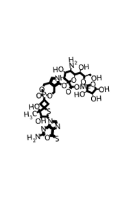 COC(=O)[C@]1(Oc2[nH]cc3c2COP(=O)(C2CC4(C2)SC(n2cnc5c(=S)oc(N)nc52)C(O)C4(C)O)OC3)C[C@H](O)[C@@H](N)[C@H]([C@H](O)[C@@H](CO)O[C@@H]2O[C@@H](O)[C@H](O)[C@@H]2O)O1